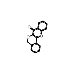 O=c1c2c(oc3ccccc13)-c1ccccc1CO2